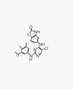 Cc1cc(Nc2ncc(Cl)c(Nc3ccc4oc(=O)[nH]c4c3)n2)cc(N(C)C)c1C